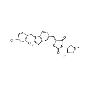 CN1C[C@@H](N2C(=O)SC(=Cc3ccc4c(cnn4Cc4ccc(Cl)cc4C(F)(F)F)c3)C2=O)[C@@H](F)C1